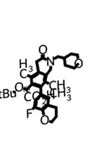 Cc1c(-c2c(C)c3c(c(C)c2[C@H](OC(C)(C)C)C(=O)O)CC(=O)N(CC2CCOCC2)C3)cc(F)c2c1CCCO2